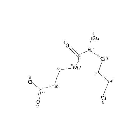 CCC(C)N(OCCCl)C(=O)NCCC(=O)Cl